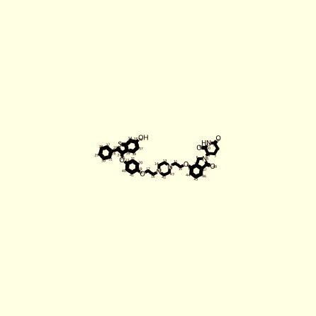 O=C1CCC(N2Cc3c(OCCN4CCN(CCOc5ccc(Oc6c(-c7ccccc7)sc7cc(O)ccc67)cc5)CC4)cccc3C2=O)C(=O)N1